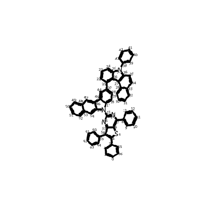 c1ccc(-c2sc3c(-c4ccccc4)nc(-n4c5ccc(-c6cccc7c6c6c8ccccc8ccc6n7-c6ccccc6)cc5c5cc6ccccc6cc54)nc3c2-c2ccccc2)cc1